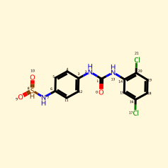 O=C(Nc1ccc(N[SH](=O)=O)cc1)Nc1cc(Cl)ccc1Cl